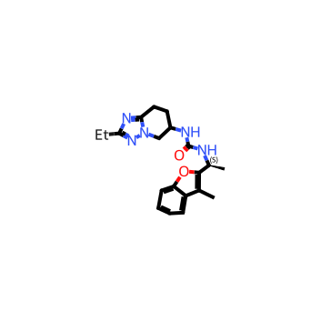 CCc1nc2n(n1)CC(NC(=O)N[C@@H](C)c1oc3ccccc3c1C)CC2